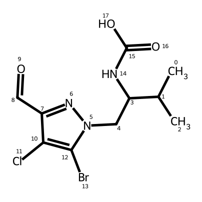 CC(C)C(Cn1nc(C=O)c(Cl)c1Br)NC(=O)O